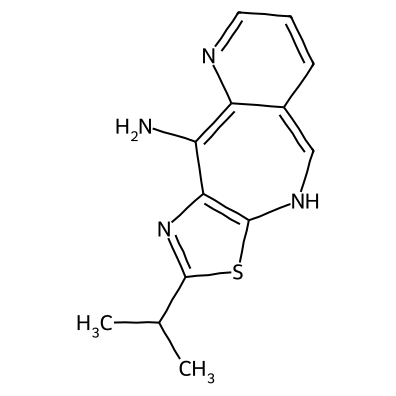 CC(C)c1nc2c(s1)NC=c1cccnc1=C2N